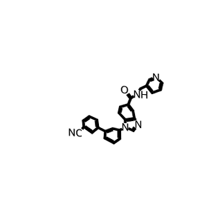 N#Cc1cccc(-c2cccc(-n3cnc4cc(C(=O)NCc5cccnc5)ccc43)c2)c1